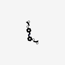 C(=C\c1cccc(OCC2CO2)c1)/c1ccc(OCC2CO2)cc1